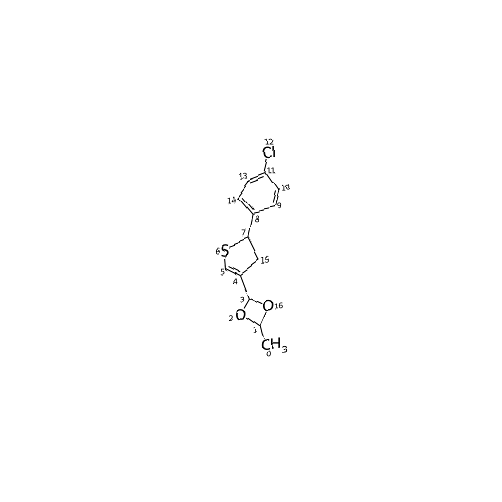 CC1OC(C2=CSC(c3ccc(Cl)cc3)C2)O1